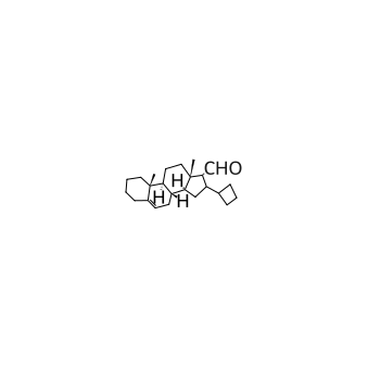 C[C@]12CCCCC1=CC[C@@H]1[C@@H]2CC[C@]2(C)C(C=O)C(C3CCC3)C[C@@H]12